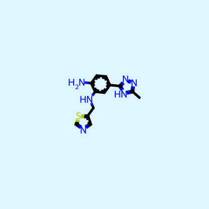 Cc1nnc(-c2ccc(N)c(NCc3cncs3)c2)[nH]1